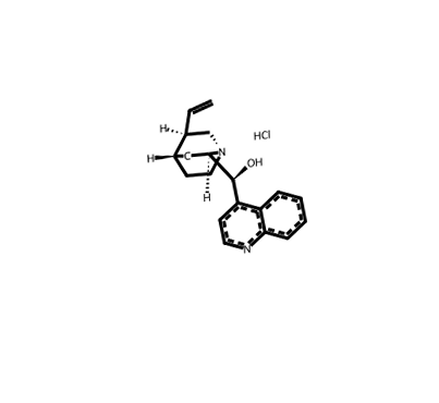 C=C[C@H]1C[N@]2CC[C@H]1C[C@@H]2[C@@H](O)c1ccnc2ccccc12.Cl